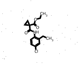 CCOC(=O)C1(C(=O)Nc2ccc(Cl)cc2CC)CC1